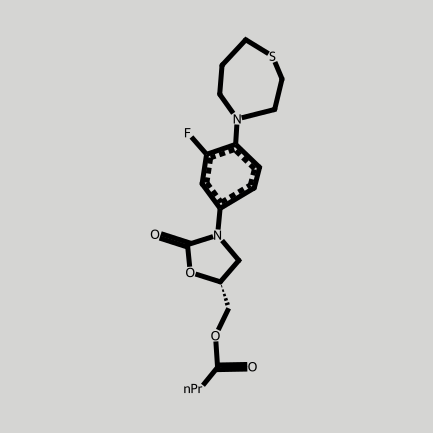 CCCC(=O)OC[C@H]1CN(c2ccc(N3CCCSCC3)c(F)c2)C(=O)O1